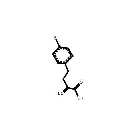 C=C(CCc1ccc(F)cc1)C(=O)O